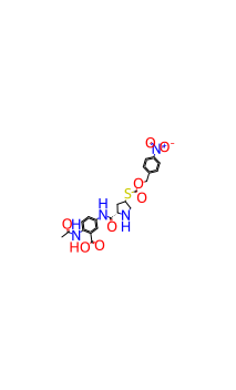 CC(=O)Nc1ccc(NC(=O)[C@@H]2C[C@H](SC(=O)OCc3ccc([N+](=O)[O-])cc3)CN2)cc1C(=O)O